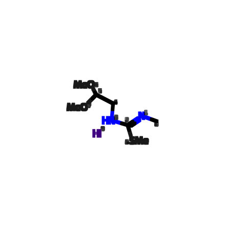 CN=C(NCC(OC)OC)SC.I